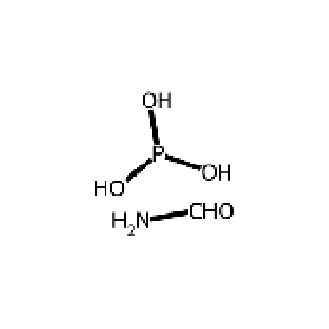 NC=O.OP(O)O